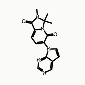 CN1C(=O)c2ccc(-n3ccc4cncnc43)c(=O)n2C1(C)C